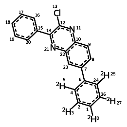 [2H]c1c([2H])c([2H])c(-c2ccc3nc(Cl)c(-c4ccccc4)nc3c2)c([2H])c1[2H]